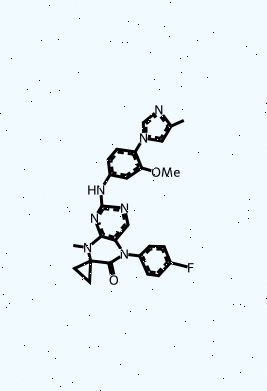 COc1cc(Nc2ncc3c(n2)N(C)C2(CC2)C(=O)N3c2ccc(F)cc2)ccc1-n1cnc(C)c1